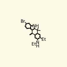 C=C1c2cc(NCC)c(CC)cc2C(C)(C)c2[nH]c3cc(Br)ccc3c21